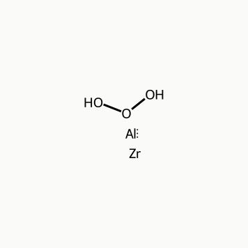 OOO.[Al].[Zr]